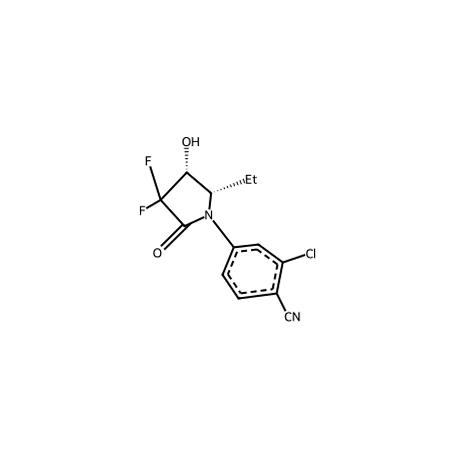 CC[C@H]1[C@@H](O)C(F)(F)C(=O)N1c1ccc(C#N)c(Cl)c1